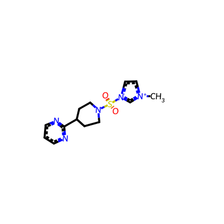 C[n+]1ccn(S(=O)(=O)N2CCC(c3ncccn3)CC2)c1